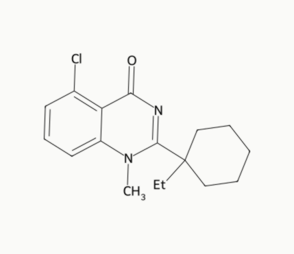 CCC1(c2nc(=O)c3c(Cl)cccc3n2C)CCCCC1